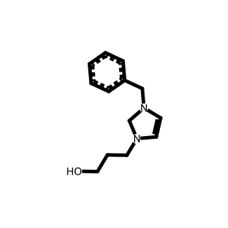 OCCCN1C=CN(Cc2ccccc2)C1